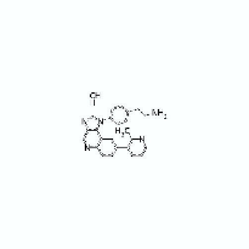 C#Cc1nc2cnc3ccc(-c4cccnc4C)cc3c2n1-c1ccc(CCN)cc1